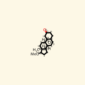 COC1CC[C@H]2[C@@H]3CCC4CCC(=O)C[C@]4(C)[C@@H]3CC[C@]12C